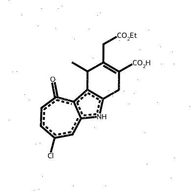 CCOC(=O)CC1=C(C(=O)O)Cc2[nH]c3cc(Cl)ccc(=O)c3c2C1C